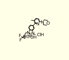 Cc1ccc(N2CCOCC2)nc1-c1ccc2c(c1)N(C)S(O)(O)N2CC1CC1(F)F.Cl